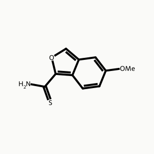 COc1ccc2c(C(N)=S)occ2c1